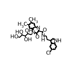 Cc1cc2nc(C(=O)NCCc3c[nH]c4ccc(Cl)cc34)c(=O)n(CC(O)C(O)C(O)CO)c2cc1C